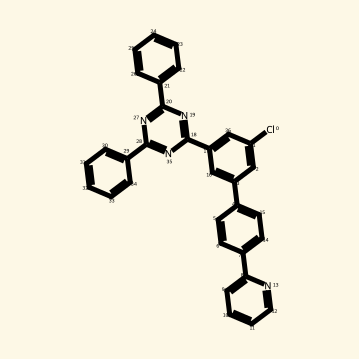 Clc1cc(-c2ccc(-c3ccccn3)cc2)cc(-c2nc(-c3ccccc3)nc(-c3ccccc3)n2)c1